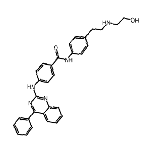 O=C(Nc1ccc(CCNCCO)cc1)c1ccc(Nc2nc(-c3ccccc3)c3ccccc3n2)cc1